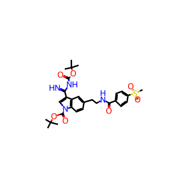 CC(C)(C)OC(=O)NC(=N)c1cn(C(=O)OC(C)(C)C)c2ccc(CCNC(=O)c3ccc(S(C)(=O)=O)cc3)cc12